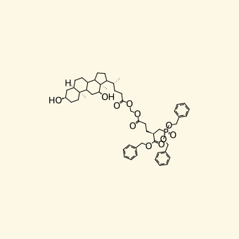 C[C@H](CCC(=O)OCOC(=O)CC[C@@H](CP(=O)(OCc1ccccc1)OCc1ccccc1)C(=O)OCc1ccccc1)C1CCC2C3CC[C@@H]4C[C@H](O)CC[C@]4(C)C3C[C@H](O)[C@@]21C